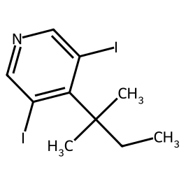 CCC(C)(C)c1c(I)cncc1I